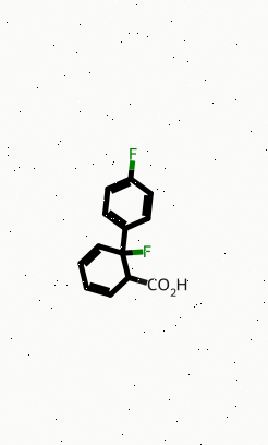 O=C(O)C1C=CC=CC1(F)c1ccc(F)cc1